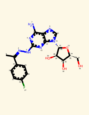 CC(=NNc1nc(N)c2ncn([C@@H]3O[C@H](CO)[C@@H](O)[C@H]3O)c2n1)c1ccc(F)cc1